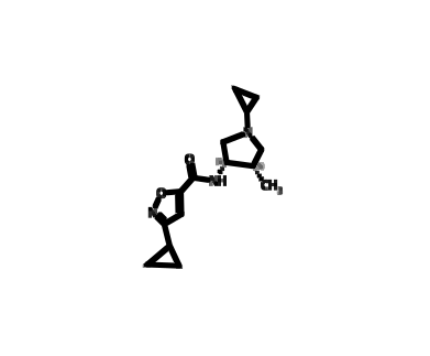 C[C@H]1CN(C2CC2)C[C@H]1NC(=O)c1cc(C2CC2)no1